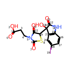 O=C(O)CCN1C(=O)SC(C2(O)C(=O)Nc3ccc(I)cc32)C1=O